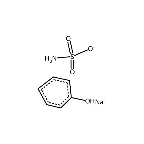 NS(=O)(=O)[O-].Oc1ccccc1.[Na+]